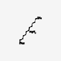 CCCCCCCCCCCCCCCCCCCCOC(C)=O.[MgH2]